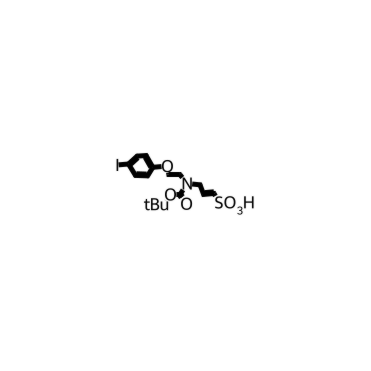 CC(C)(C)OC(=O)N(CC=CS(=O)(=O)O)CCOc1ccc(I)cc1